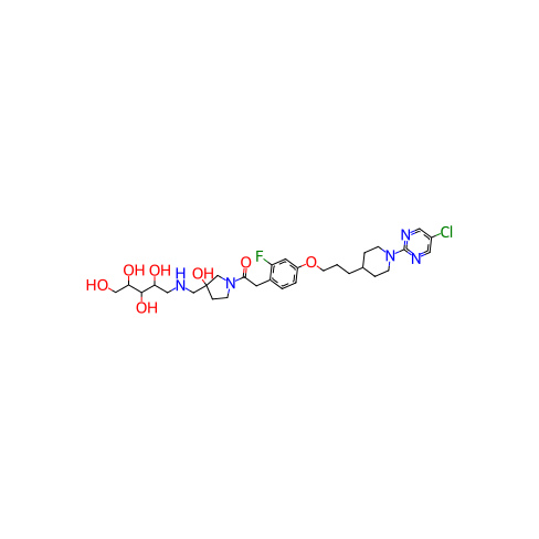 O=C(Cc1ccc(OCCCC2CCN(c3ncc(Cl)cn3)CC2)cc1F)N1CCC(O)(CNCC(O)C(O)C(O)CO)C1